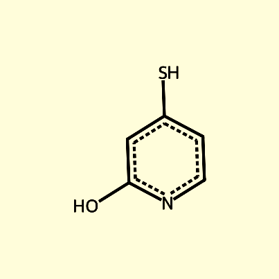 Oc1cc(S)ccn1